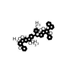 Cc1ccc(C(Cc2ccc3c(c2)C(C)(C)c2cc(-c4cccc5ccccc45)c4oc5ccccc5c4c2-3)c2ccc3c(c2)C(C)(C)c2cc4c(cc2-3)C(C)(C)c2ccc3oc5ccccc5c3c2-4)cc1